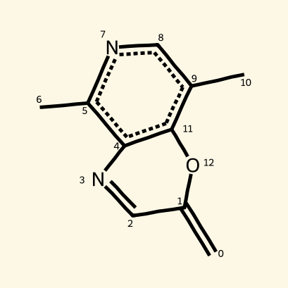 C=C1C=Nc2c(C)ncc(C)c2O1